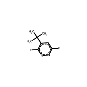 CC(C)(C)c1cc(F)nnc1F